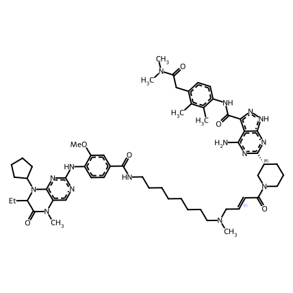 CCC1C(=O)N(C)c2cnc(Nc3ccc(C(=O)NCCCCCCCCN(C)C/C=C/C(=O)N4CCC[C@@H](c5nc(N)c6c(C(=O)Nc7ccc(CC(=O)N(C)C)c(C)c7C)n[nH]c6n5)C4)cc3OC)nc2N1C1CCCC1